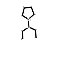 C[CH2][Al]([CH2]C)[N]1CCCC1